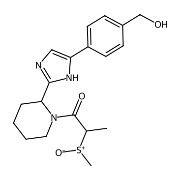 CC(C(=O)N1CCCCC1c1ncc(-c2ccc(CO)cc2)[nH]1)[S+](C)[O-]